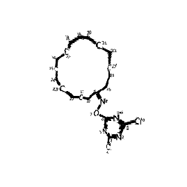 Clc1nc(Cl)nc(ON=C2CCCCCCCCCCCCCCCC2)n1